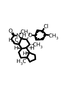 Cc1ccc(O[C@@H]2[C@H](C)[C@H]3[C@@H]4CCC[C@@]4(C)CC[C@@H]3[C@@]3(C)CCC(=O)N(C)[C@H]23)cc1Cl